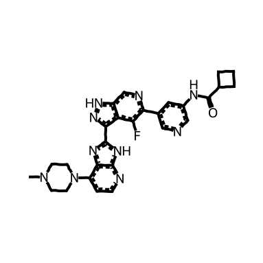 CN1CCN(c2ccnc3[nH]c(-c4n[nH]c5cnc(-c6cncc(NC(=O)C7CCC7)c6)c(F)c45)nc23)CC1